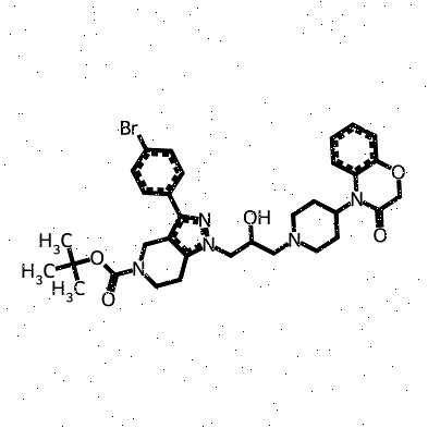 CC(C)(C)OC(=O)N1CCc2c(c(-c3ccc(Br)cc3)nn2CC(O)CN2CCC(N3C(=O)COc4ccccc43)CC2)C1